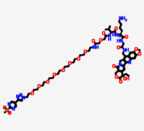 CC[C@@]1(O)C(=O)OCc2c1cc1n(c2=O)Cc2c-1nc1cc3c(cc1c2CNC(=O)CNC(=O)[C@H](CCCCN)NC(=O)[C@@H](NC(=O)COCC(=O)NCCOCCOCCOCCOCCOCCOCCOCCOCCn1cc(-c2cnc(S(C)(=O)=O)nc2)nn1)C(C)C)OCO3